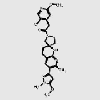 COc1cc(CC(=O)N2CC[C@@]3(CCc4cc(-c5nc(OC)n(C)n5)c(C)nc4N3)C2)c(Cl)cn1